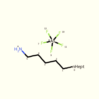 CCCCCCCCCCCCN.F[As](F)(F)(F)F